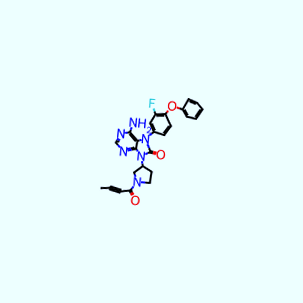 CC#CC(=O)N1CCC(n2c(=O)n(-c3ccc(Oc4ccccc4)c(F)c3)c3c(N)ncnc32)C1